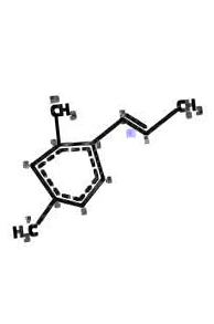 C/C=[C]/c1ccc(C)cc1C